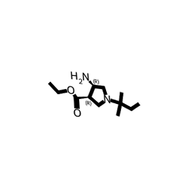 CCOC(=O)[C@@H]1CN(C(C)(C)CC)C[C@@H]1N